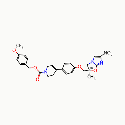 C[C@]1(COc2ccc(C3=CCN(C(=O)OCc4ccc(OC(F)(F)F)cc4)CC3)cc2)Cn2cc([N+](=O)[O-])nc2O1